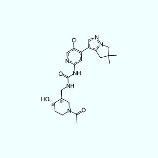 CC(=O)N1CC[C@H](O)[C@@H](CNC(=O)Nc2cc(-c3cnn4c3CC(C)(C)C4)c(Cl)cn2)C1